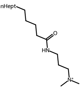 CCCCCCCCCCCC(=O)NCCC[N+](C)C